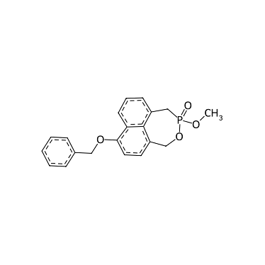 COP1(=O)Cc2cccc3c(OCc4ccccc4)ccc(c23)CO1